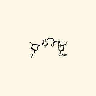 COC1=CC(=O)N(NC(=O)/C=C\n2cnc(-c3cc(C)cc(C(F)(F)F)c3)n2)C1